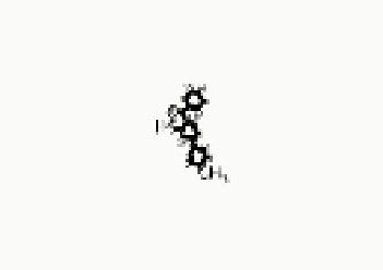 Cc1ccc(-c2ccc(C(=O)c3ccccc3)c(S)c2)cc1